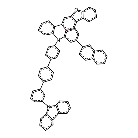 c1cc(-c2ccc3ccccc3c2)cc(N(c2ccc(-c3ccc(-c4cccc(-n5c6ccccc6c6ccccc65)c4)cc3)cc2)c2ccccc2-c2ccc3c(c2)oc2ccccc23)c1